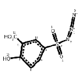 [N-]=[N+]=NS(=O)(=O)c1ccc(O)c(C(=O)O)c1